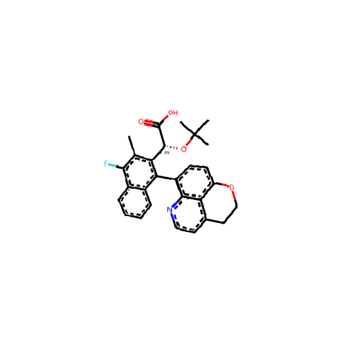 Cc1c([C@@H](OC(C)(C)C)C(=O)O)c(-c2ccc3c4c(ccnc24)CCO3)c2ccccc2c1F